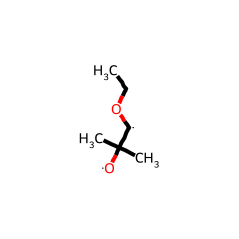 CCO[CH]C(C)(C)[O]